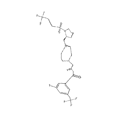 O=C(NCC1CCN(C[C@@H]2CCCN2S(=O)(=O)CCC(F)(F)F)CC1)c1cc(F)cc(C(F)(F)F)c1